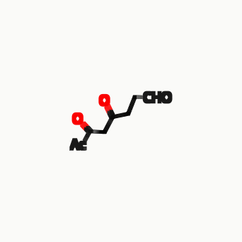 CC(=O)C(=O)CC(=O)CCC=O